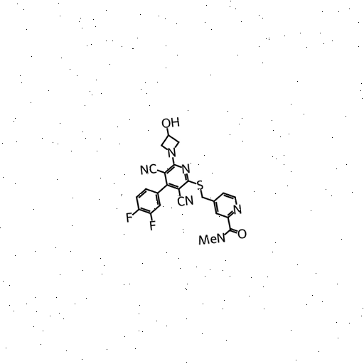 CNC(=O)c1cc(CSc2nc(N3CC(O)C3)c(C#N)c(-c3ccc(F)c(F)c3)c2C#N)ccn1